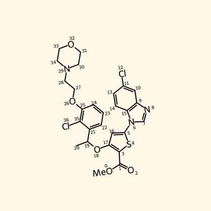 COC(=O)c1sc(-n2cnc3cc(Cl)ccc32)cc1OC(C)c1cccc(OCCN2CCOCC2)c1Cl